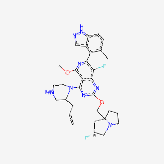 C=CCC1CNCCN1c1nc(OCC23CCCN2C[C@H](F)C3)nc2c(F)c(-c3c(C)ccc4[nH]ncc34)nc(OC)c12